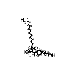 CCCCCCCCCCCCCC(=O)C(Cc1ccc(OCCO)cc1)C(C)(C)O